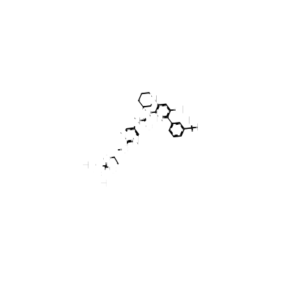 CC1(C)OC[C@@H](COc2ncc(NC(=O)N3c4nc(-c5cccc(C(F)(F)F)c5)c(Cl)cc4N4CCC[C@H]3C4)cn2)O1